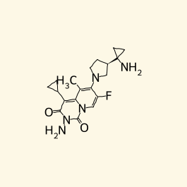 Cc1c(N2CC[C@@H](C3(N)CC3)C2)c(F)cn2c(=O)n(N)c(=O)c(C3CC3)c12